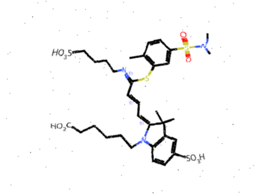 Cc1ccc(S(=O)(=O)N(C)C)cc1SC(/C=C/C=C1/N(CCCCCC(=O)O)c2ccc(S(=O)(=O)O)cc2C1(C)C)=N/CCCCS(=O)(=O)O